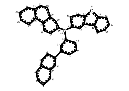 c1cc(-c2ccc3ccccc3c2)cc(N(c2ccc3c(ccc4ccccc43)c2)c2ccc3oc4ccccc4c3c2)c1